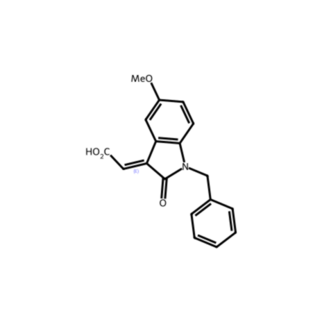 COc1ccc2c(c1)/C(=C\C(=O)O)C(=O)N2Cc1ccccc1